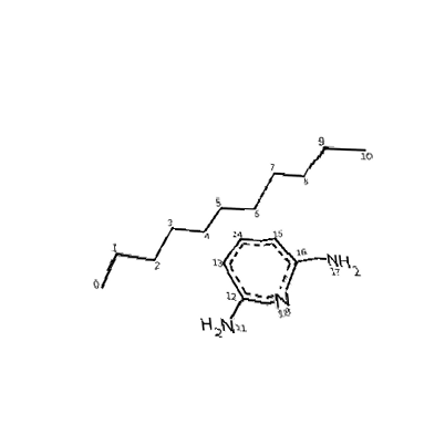 CCCCCCCCCCC.Nc1cccc(N)n1